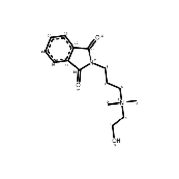 C[N+](C)(CCO)CCCN1C(=O)c2ccccc2C1=O